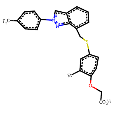 CCc1cc(SCc2cccc3cn(-c4ccc(C(F)(F)F)cc4)nc23)ccc1OCC(=O)O